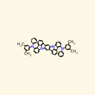 Cc1cc(C)cc(N(C2=CC=CCC2)c2cccc3c2c2cccc4c5cc6c(cc5n3c42)c2cccc3c4c(N(c5ccccc5)c5cc(C)cc(C)c5)cccc4n6c23)c1